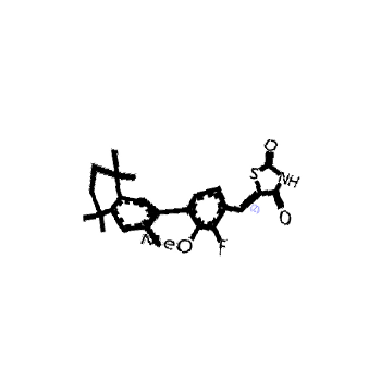 COc1c(-c2cc3c(cc2C)C(C)(C)CCC3(C)C)ccc(/C=C2\SC(=O)NC2=O)c1F